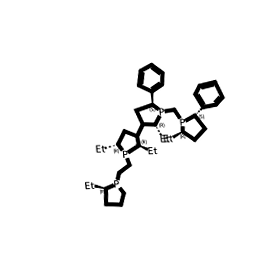 CC[C@@H]1CCCP1CCP1[C@H](CC)CC(C2C[C@@H](c3ccccc3)P(CP3[C@H](CC)CC[C@H]3c3ccccc3)[C@@H]2CC)[C@H]1CC